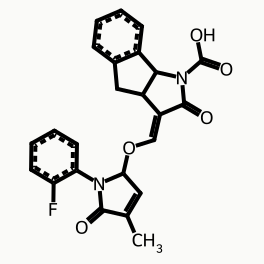 CC1=CC(OC=C2C(=O)N(C(=O)O)C3c4ccccc4CC23)N(c2ccccc2F)C1=O